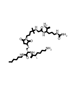 C=C(N)C(CCCNC(N)=O)NC(=O)CNC(C)(C)CCCN1C(=O)CC(SC[C@H](NC(=C)[C@@H](C)CCCCN)C(=O)NCCCCCC)C1=O